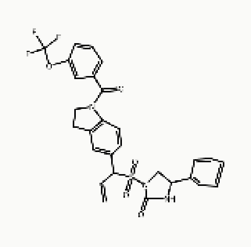 C=CC(c1ccc2c(c1)CCN2C(=O)c1cccc(OC(F)(F)F)c1)S(=O)(=O)N1CC(c2ccccc2)NC1=O